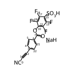 N#CC#Cc1ccc(C(=O)Oc2c(F)c(F)c(S(=O)(=O)O)c(F)c2F)cc1.[NaH]